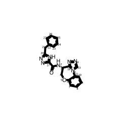 O=C(N[C@H]1COc2ccccc2-n2cnnc21)c1nnc(Cc2ccccc2)[nH]1